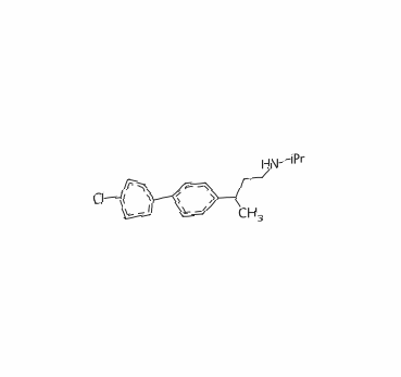 CC(C)NCCC(C)c1ccc(-c2ccc(Cl)cc2)cc1